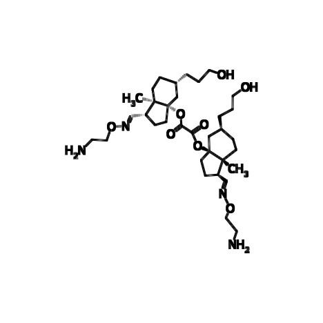 C[C@]12CC[C@H](CCCO)C[C@@]1(OC(=O)C(=O)O[C@]13CC[C@H](C=NOCCN)[C@@]1(C)CC[C@H](CCCO)C3)CC[C@@H]2C=NOCCN